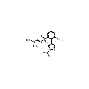 CN(C)C=NS(=O)(=O)c1cccc(N)c1-c1cnn(C(F)F)c1